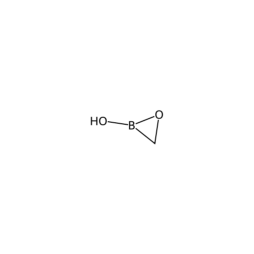 OB1CO1